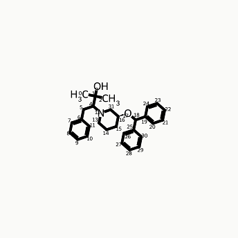 CC(C)(O)C(Cc1ccccc1)N1CCC[C@@H](OC(c2ccccc2)c2ccccc2)C1